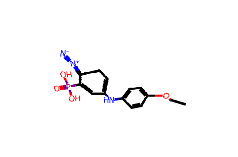 CCOc1ccc(NC2=CCC(=[N+]=[N-])C(P(=O)(O)O)=C2)cc1